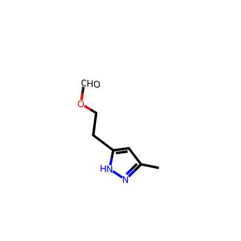 Cc1cc(CCOC=O)[nH]n1